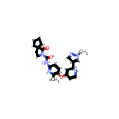 Cc1nc(NC(=O)N2CCC3(CCCC3)C2=O)ccc1Oc1ccnc(-c2cnn(C)c2)c1